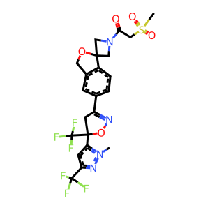 Cn1nc(C(F)(F)F)cc1C1(C(F)(F)F)CC(c2ccc3c(c2)COC32CN(C(=O)CS(C)(=O)=O)C2)=NO1